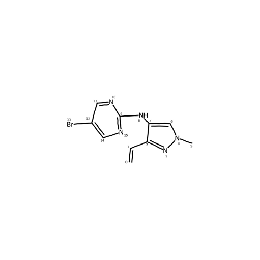 C=Cc1nn(C)cc1Nc1ncc(Br)cn1